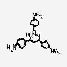 Nc1ccc(C2=CC(c3ccc(N)cc3)=NN(c3ccc(N)cc3)N2)cc1